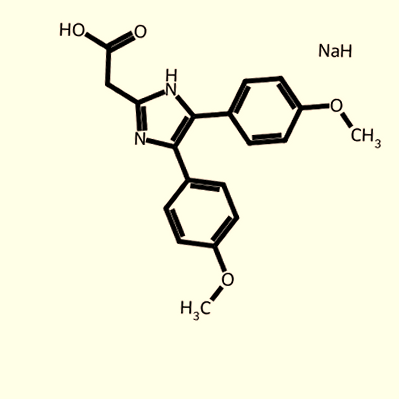 COc1ccc(-c2nc(CC(=O)O)[nH]c2-c2ccc(OC)cc2)cc1.[NaH]